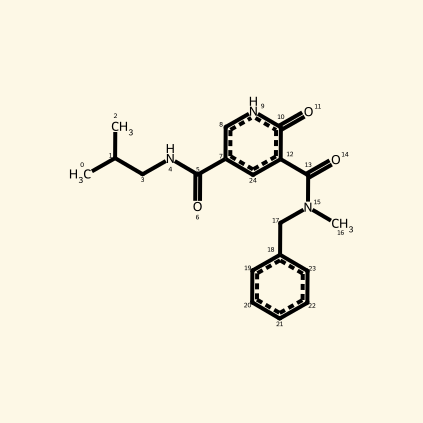 CC(C)CNC(=O)c1c[nH]c(=O)c(C(=O)N(C)Cc2ccccc2)c1